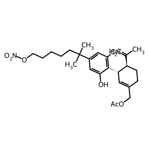 C=C(C)[C@H]1CCC(COC(C)=O)=C[C@@H]1c1c(O)cc(C(C)(C)CCCCCO[N+](=O)[O-])cc1O